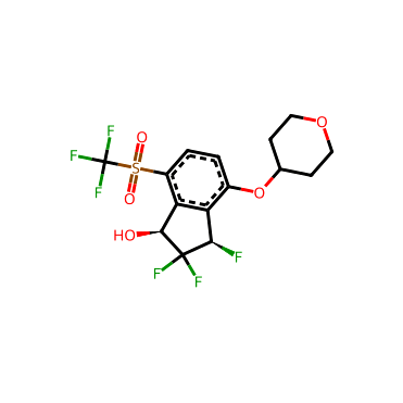 O=S(=O)(c1ccc(OC2CCOCC2)c2c1[C@H](O)C(F)(F)[C@@H]2F)C(F)(F)F